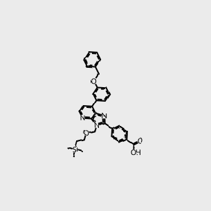 C[Si](C)(C)CCOCn1c(-c2ccc(C(=O)O)cc2)nc2c(-c3cccc(OCc4ccccc4)c3)ccnc21